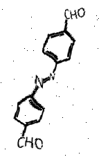 O=Cc1ccc(N=Nc2ccc(C=O)cc2)cc1